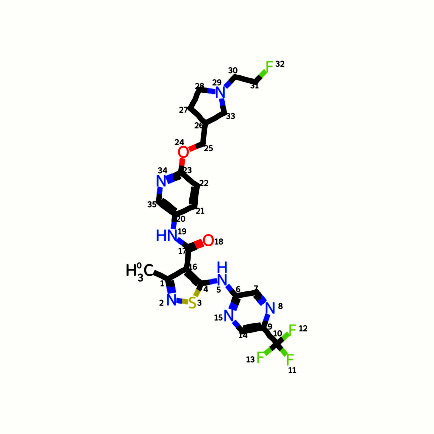 Cc1nsc(Nc2cnc(C(F)(F)F)cn2)c1C(=O)Nc1ccc(OCC2CCN(CCF)C2)nc1